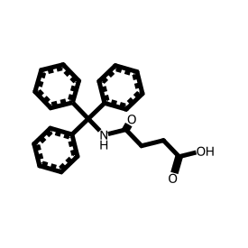 O=C(O)CCC(=O)NC(c1ccccc1)(c1ccccc1)c1ccccc1